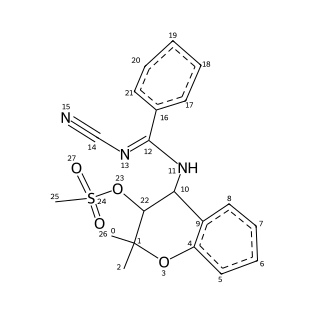 CC1(C)Oc2ccccc2C(NC(=NC#N)c2ccccc2)C1OS(C)(=O)=O